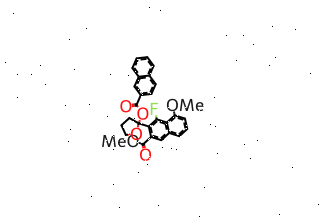 COC(=O)c1cc2cccc(OC)c2c(F)c1C1(OC(=O)c2ccc3ccccc3c2)CCCO1